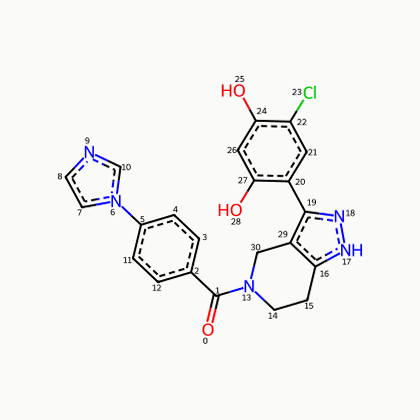 O=C(c1ccc(-n2ccnc2)cc1)N1CCc2[nH]nc(-c3cc(Cl)c(O)cc3O)c2C1